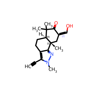 C#Cc1c2c(nn1C)[C@@]1(C)C/C(=C/O)C(=O)C(C)(C)[C@@H]1CC2